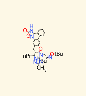 CCCc1c(Cc2ccc(-c3ccccc3-c3noc(=O)[nH]3)cc2)c(=O)n(C/C(=N\OC(C)(C)C)C(C)(C)C)c2nc(C)nn12